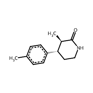 Cc1ccc([C@H]2CCNC(=O)[C@@H]2C)cc1